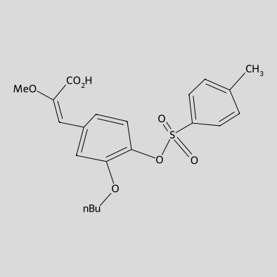 CCCCOc1cc(/C=C(/OC)C(=O)O)ccc1OS(=O)(=O)c1ccc(C)cc1